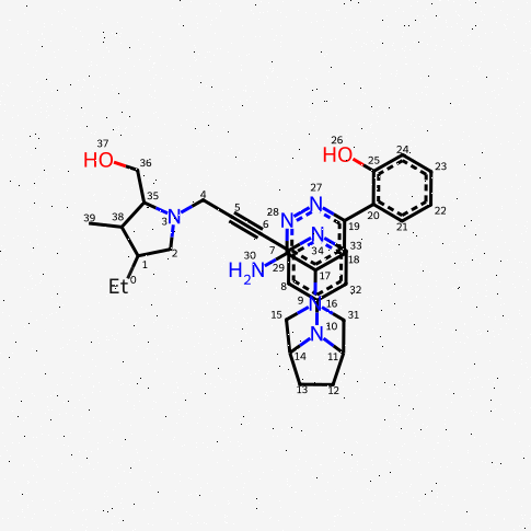 CCC1CN(CC#Cc2cc(N3C4CCC3CN(c3cc(-c5ccccc5O)nnc3N)C4)ccn2)C(CO)C1C